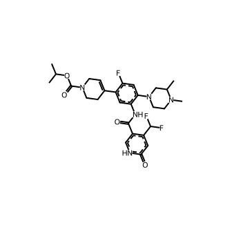 CC(C)OC(=O)N1CC=C(c2cc(NC(=O)c3c[nH]c(=O)cc3C(F)F)c(N3CCN(C)C(C)C3)cc2F)CC1